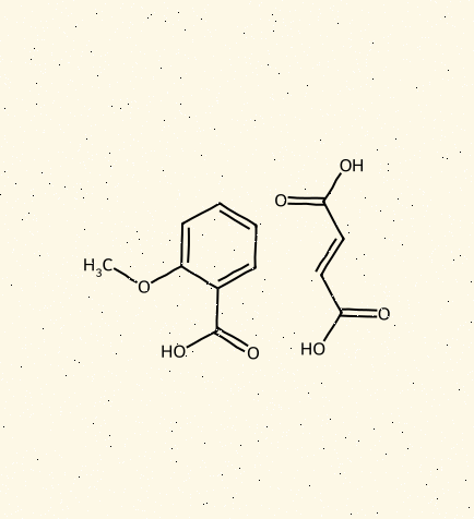 COc1ccccc1C(=O)O.O=C(O)/C=C/C(=O)O